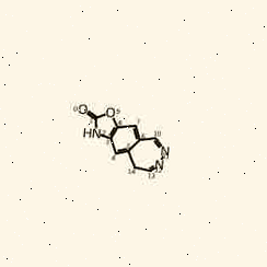 O=c1[nH]c2cc3c(cc2o1)C=NN=CC3